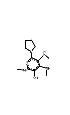 CNc1nc(N2CCCC2)c(NC)c(NC)c1O